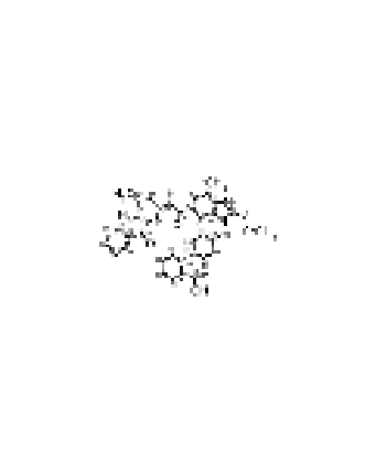 CCCc1nc2c(C)cc(C(=O)N[C@@H](CSC(=O)c3cccnc3)CC(C)C)cc2n1Cc1ccc(-c2ccccc2C(=O)O)cc1